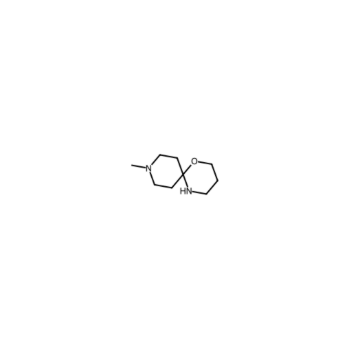 CN1CCC2(CC1)NCCCO2